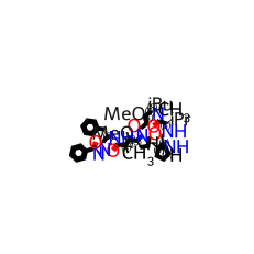 CC[C@H](C)[C@@H]([C@H](CC(=O)N1CCC[C@H]1[C@H](OC)[C@@H](C)C(=O)N[C@@H](Cc1ccccc1)c1nnc(-c2ccccc2)o1)OC)N(C)C(=O)[C@@H](NC(=O)[C@H]1N[C@@H]2CC[C@H]1C2)C(C)C